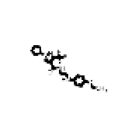 CCOc1ccc(NCCNC(=O)c2cn(C3CCCC3)nc2C(F)(F)F)cc1